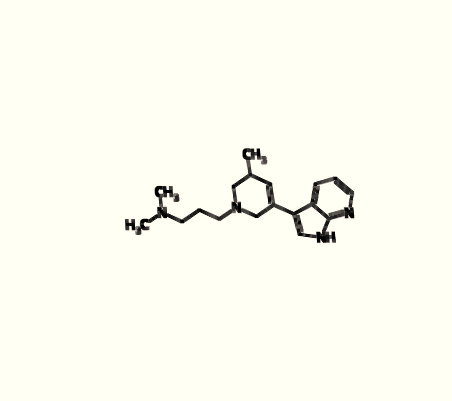 CC1C=C(c2c[nH]c3ncccc23)CN(CCCN(C)C)C1